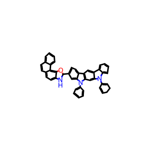 C1=CC(n2c3ccccc3c3cc4c5ccc(C6Nc7ccc8ccc9ccccc9c8c7O6)cc5n(-c5ccccc5)c4cc32)=CCC1